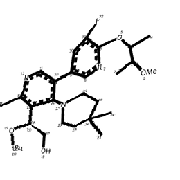 COC(C)C(C)Oc1ncc(-c2cnc(C)c([C@@H](CO)OC(C)(C)C)c2N2CCC(C)(C)CC2)cc1F